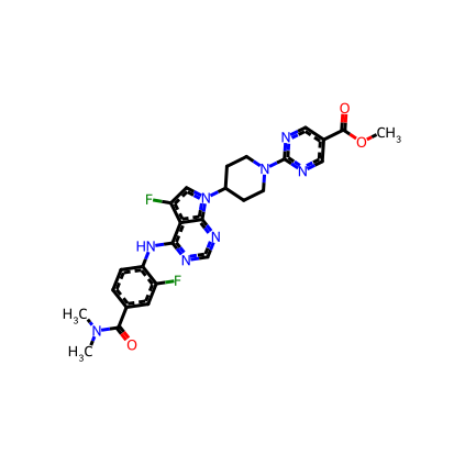 COC(=O)c1cnc(N2CCC(n3cc(F)c4c(Nc5ccc(C(=O)N(C)C)cc5F)ncnc43)CC2)nc1